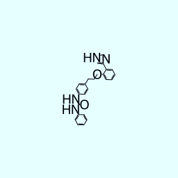 O=C(Nc1ccccc1)Nc1ccc(CCOc2ccccc2-c2c[nH]cn2)cc1